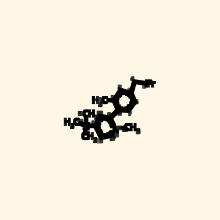 Cc1cc(CC(C)C)ccc1-c1cc([Si](C)(C)C)cc[n+]1C